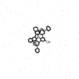 CC(C)(C)c1ccc2c3ccc(C(C)(C)C)cc3n(-c3c(-c4cc(-c5ccccc5)nc(-c5ccccc5)n4)cc(C#N)cc3-c3cc(-c4ccccc4)nc(-c4ccccc4)n3)c2c1